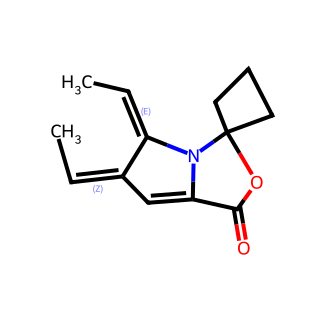 C/C=c1/cc2n(/c1=C/C)C1(CCC1)OC2=O